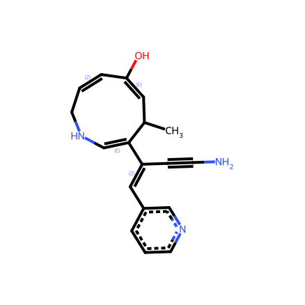 CC1/C=C(O)\C=C/CN/C=C1/C(C#CN)=C/c1cccnc1